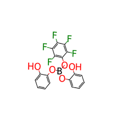 Oc1ccccc1OB(Oc1ccccc1O)Oc1c(F)c(F)c(F)c(F)c1F